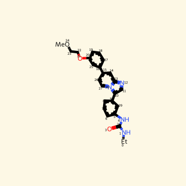 CCNC(=O)Nc1cccc(-c2cnc3cc(-c4cccc(OCCOC)c4)ccn23)c1